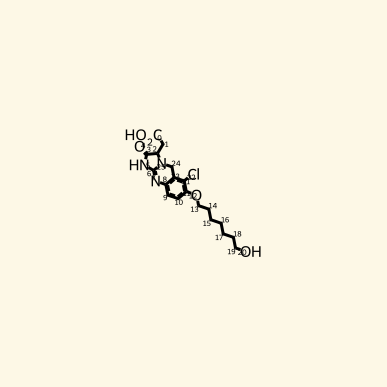 O=C(O)CC1C(=O)NC2=Nc3ccc(OCCCCCCCO)c(Cl)c3CN21